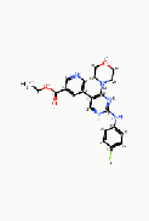 CCOC(=O)c1cncc(-c2cnc(Nc3ccc(F)cc3)nc2N2CCOCC2)c1